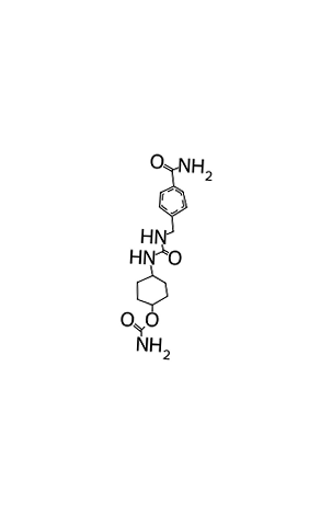 NC(=O)OC1CCC(NC(=O)NCc2ccc(C(N)=O)cc2)CC1